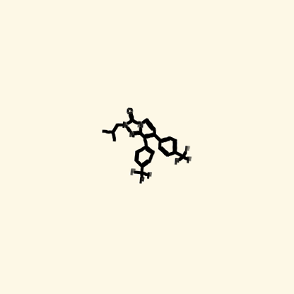 CC(C)Cn1nc2c(-c3ccc(C(F)(F)F)cc3)c(-c3ccc(C(F)(F)F)cc3)ccn2c1=O